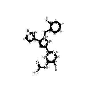 O=C(O)Nc1nc(-c2cc(-c3ccon3)n(Cc3ccccc3F)n2)ncc1F